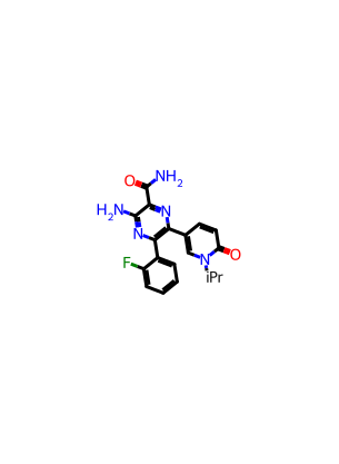 CC(C)n1cc(-c2nc(C(N)=O)c(N)nc2-c2ccccc2F)ccc1=O